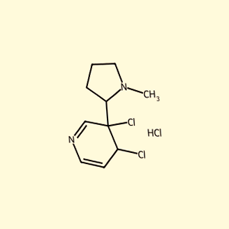 CN1CCCC1C1(Cl)C=NC=CC1Cl.Cl